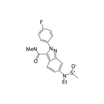 CCN(c1ccc2c(C(=O)NC)n(-c3ccc(F)cc3)nc2c1)[S+](C)[O-]